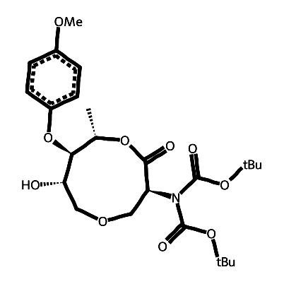 COc1ccc(O[C@H]2[C@H](C)OC(=O)[C@@H](N(C(=O)OC(C)(C)C)C(=O)OC(C)(C)C)COC[C@@H]2O)cc1